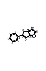 C1=C(c2ccccc2)Cc2ccoc21